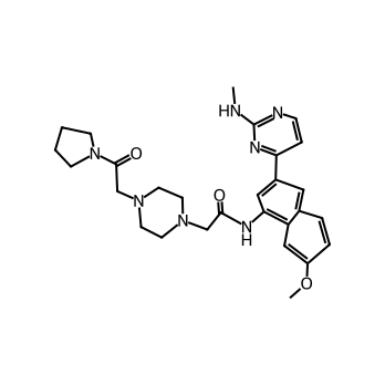 CNc1nccc(-c2cc(NC(=O)CN3CCN(CC(=O)N4CCCC4)CC3)c3cc(OC)ccc3c2)n1